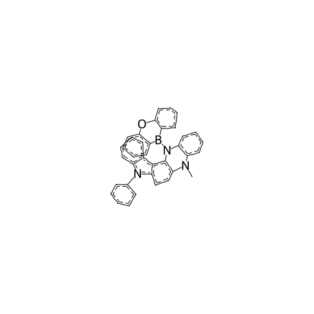 CN1c2ccccc2N(B2c3ccccc3Oc3ccccc32)c2c1ccc1c2c2ccccc2n1-c1ccccc1